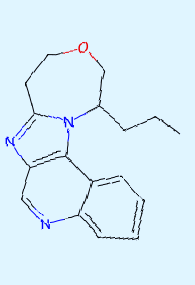 CCCC1COCCc2nc3cnc4ccccc4c3n21